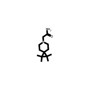 CC1(C)C(C)(C)C12CCN(CC(N)=O)CC2